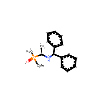 COP(=O)(OC)[C@@H](C)NC(c1ccccc1)c1ccccc1